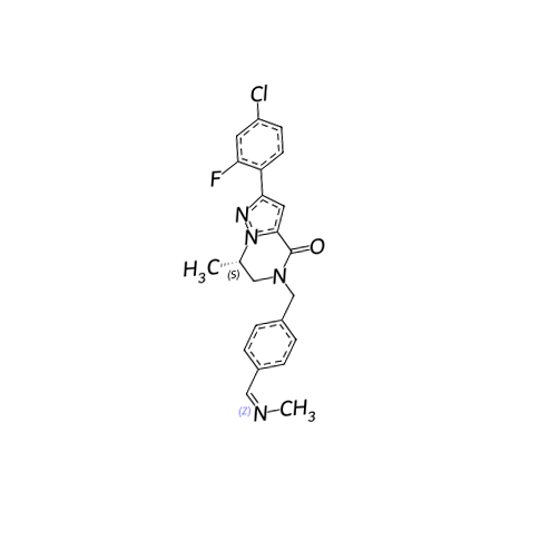 C/N=C\c1ccc(CN2C[C@H](C)n3nc(-c4ccc(Cl)cc4F)cc3C2=O)cc1